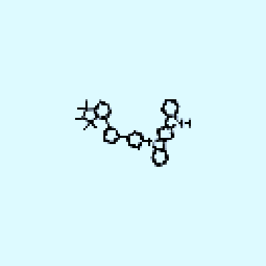 CC1C(C)(C)c2cccc(-c3cccc(-c4ccc(-n5c6ccccc6c6cc7[nH]c8ccccc8c7cc65)cc4)c3)c2C1(C)C